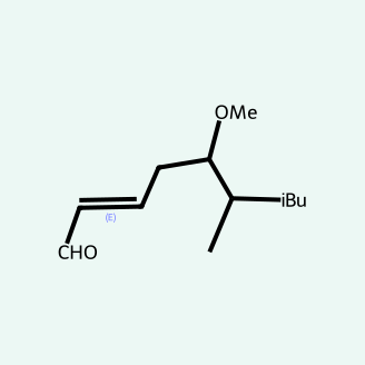 CCC(C)C(C)C(C/C=C/C=O)OC